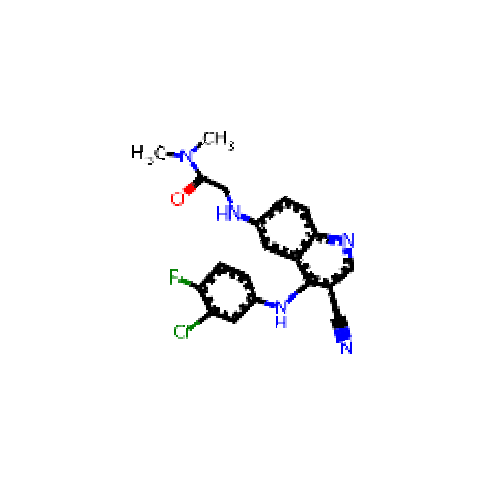 CN(C)C(=O)CNc1ccc2ncc(C#N)c(Nc3ccc(F)c(Cl)c3)c2c1